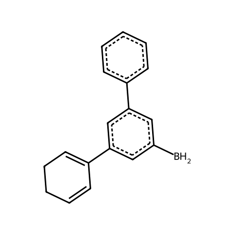 Bc1cc(C2=CCCC=C2)cc(-c2ccccc2)c1